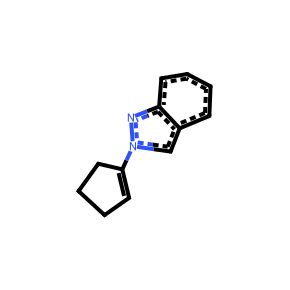 C1=C(n2cc3ccccc3n2)CCC1